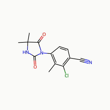 Cc1c(N2C(=O)NC(C)(C)C2=O)ccc(C#N)c1Cl